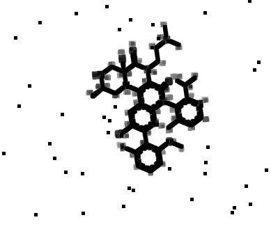 COc1cccc(F)c1-c1nc2c(cc1Cl)c1c(c(=O)n2-c2c(C)ccnc2C(C)C)N(CCN(C)C)C(=O)[C@H]2CN[C@H](C)CN12